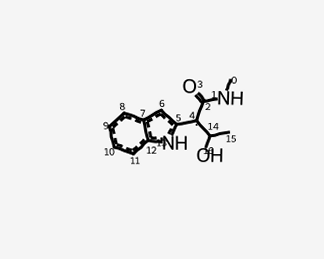 CNC(=O)[C](c1cc2ccccc2[nH]1)C(C)O